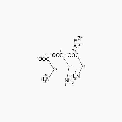 NCC(=O)[O-].NCC(=O)[O-].NCC(=O)[O-].[Al+3].[Zr]